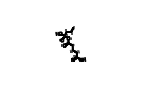 CCCP(=O)(O)OC(=O)CCCC(=O)O